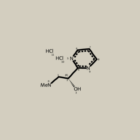 CNC[C@@H](O)c1ncccn1.Cl.Cl